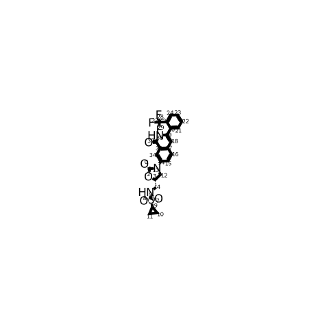 O=C1O[C@@H](CNS(=O)(=O)C2CC2)CN1c1ccc2cc(-c3ccccc3C(F)(F)F)[nH]c(=O)c2c1